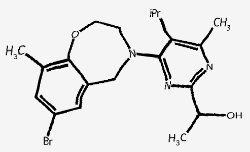 Cc1cc(Br)cc2c1OCCN(c1nc(C(C)O)nc(C)c1C(C)C)C2